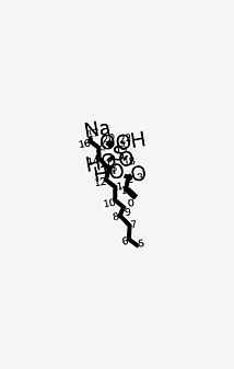 C=CC(=O)O.CCCCCCCCCCC[CH2][Na].O=S(=O)(O)O